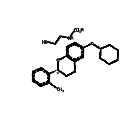 Cc1ccccc1[C@H]1CCc2cc(OC3CCCCC3)ccc2O1.O=C(O)NCCO